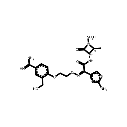 C[C@H]1[C@H](NC(=O)C(=NOCCOc2ccc(C(=N)N)cc2CO)c2csc(N)n2)C(=O)N1S(=O)(=O)O